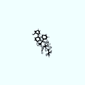 Cc1ccccc1-c1cccc(C2(c3ccccc3)NC(N)(OC(=O)C(F)(F)F)N(C)C2=O)c1